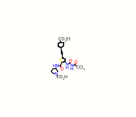 CCOC(=O)c1ccc(C#Cc2cc(NC(=O)NC(=O)C(Cl)(Cl)Cl)c(C(=O)NC3CCCN(C(=O)O)C3)s2)cc1